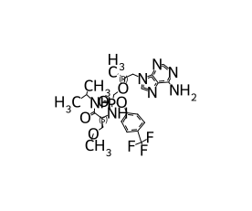 COC[C@H](NP(=O)(CO[C@H](C)Cn1cnc2c(N)ncnc21)Oc1ccc(C(F)(F)F)cc1)C(=O)NC(C)C